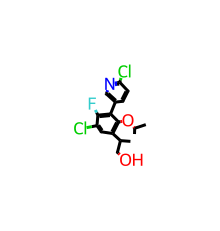 CC(C)Oc1c(C(C)CO)cc(Cl)c(F)c1-c1ccc(Cl)nc1